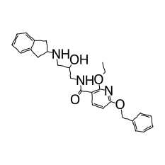 CCOc1nc(OCc2ccccc2)ccc1C(=O)NCC(O)CNC1Cc2ccccc2C1